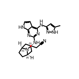 Cc1cc(Nc2nc(N[C@@H]3C[C@H]4CC[C@@H](C3)N4CCC#N)nc3[nH]ccc23)n[nH]1